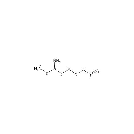 C=CCCCCC(N)CN